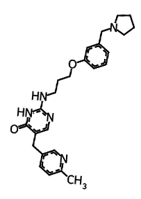 Cc1ccc(Cc2cnc(NCCCOc3cccc(CN4CCCC4)c3)[nH]c2=O)cn1